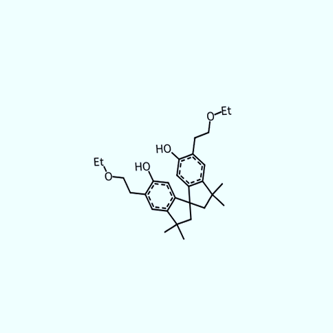 CCOCCc1cc2c(cc1O)C1(CC2(C)C)CC(C)(C)c2cc(CCOCC)c(O)cc21